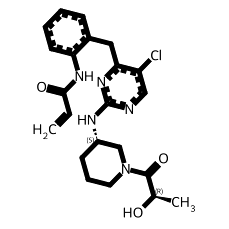 C=CC(=O)Nc1ccccc1Cc1nc(N[C@H]2CCCN(C(=O)[C@@H](C)O)C2)ncc1Cl